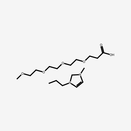 CCCN1C=CN(C)C1.COCCOCCOCCOCCC(=O)O